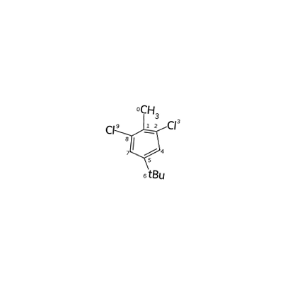 Cc1c(Cl)cc(C(C)(C)C)cc1Cl